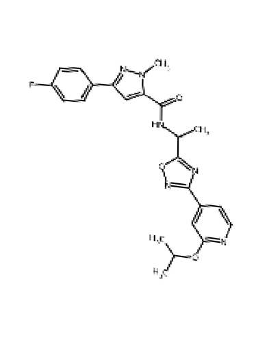 CC(C)Oc1cc(-c2noc(C(C)NC(=O)c3cc(-c4ccc(F)cc4)nn3C)n2)ccn1